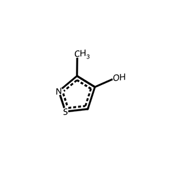 Cc1nscc1O